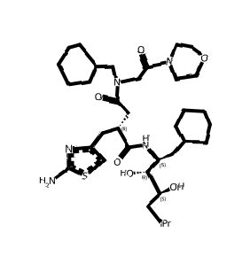 CC(C)C[C@H](O)[C@H](O)[C@H](CC1CCCCC1)NC(=O)[C@@H](CC(=O)N(CC(=O)N1CCOCC1)CC1CCCCC1)Cc1csc(N)n1